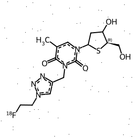 Cc1cn(C2CC(O)[C@@H](CO)S2)c(=O)n(Cc2cn(CC[18F])nn2)c1=O